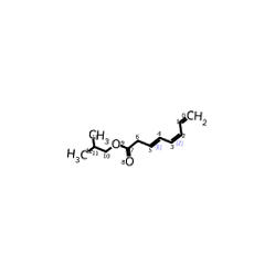 C=C/C=C\C=C\CC(=O)OCC(C)C